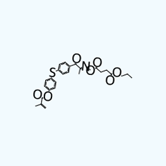 C=C(C)C(=O)Oc1ccc(Sc2ccc(C(=O)/C(C)=N/OC(=O)CCC(=O)OCCC)cc2)cc1